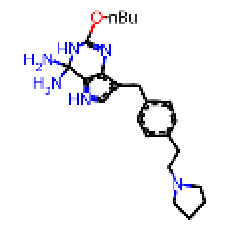 CCCCOC1=Nc2c(Cc3ccc(CCN4CCCC4)cc3)c[nH]c2C(N)(N)N1